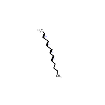 [CH2]/C=C/C=C/C=C/C=C/CCCC